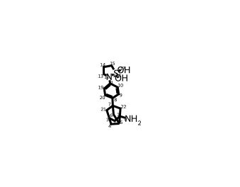 NC12CC3CC1CC(c1ccc(N4CCCS4(O)O)cc1)(C3)C2